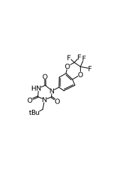 CC(C)(C)Cn1c(=O)[nH]c(=O)n(-c2ccc3c(c2)OC(F)(F)C(F)(F)O3)c1=O